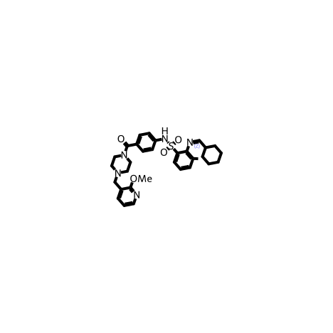 COc1ncccc1CN1CCN(C(=O)c2ccc(NS(=O)(=O)c3cccc(C)c3/N=C\C3CCCCC3)cc2)CC1